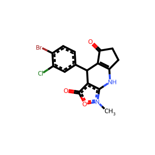 Cn1oc(=O)c2c1NC1=C(C(=O)CC1)C2c1ccc(Br)c(Cl)c1